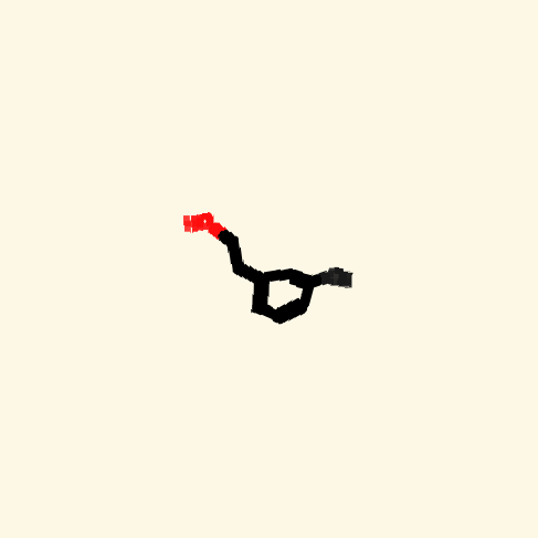 CC(C)(C)c1cccc(CCO)c1